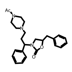 CC(=O)N1CCN(CCC(c2ccccc2)N2CC(Cc3ccccc3)OC2=O)CC1